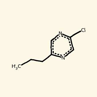 CCCc1cnc(Cl)cn1